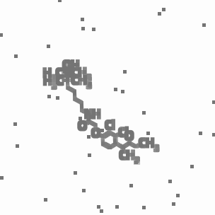 C=C(C(=O)CC)c1ccc(OCC(=O)NCCCCCC(C)(C)[Si](C)(C)O)c(Cl)c1Cl